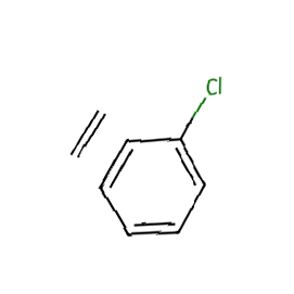 C=C.Clc1ccccc1